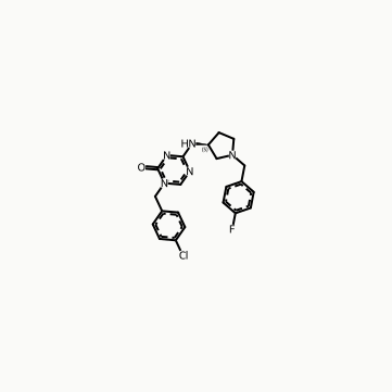 O=c1nc(N[C@H]2CCN(Cc3ccc(F)cc3)C2)ncn1Cc1ccc(Cl)cc1